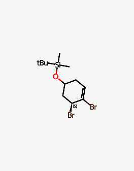 CC(C)(C)[Si](C)(C)OC1CC=C(Br)[C@@H](Br)C1